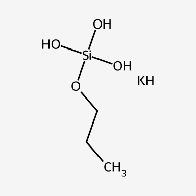 CCCO[Si](O)(O)O.[KH]